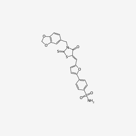 NS(=O)(=O)c1ccc(-c2ccc(C=C3SC(=S)N(Cc4ccc5c(c4)OCO5)C3=O)o2)cc1